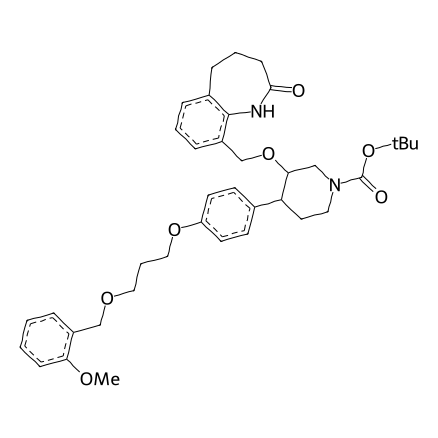 COc1ccccc1COCCCOc1ccc(C2CCN(C(=O)OC(C)(C)C)CC2OCc2cccc3c2NC(=O)CCC3)cc1